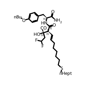 CCCCCCCSCCCCCCC=C[C@H](C(=O)N[C@@H](Cc1ccc(OCCCC)cc1)C(N)=O)[C@@](O)(CC(F)F)C(=O)O